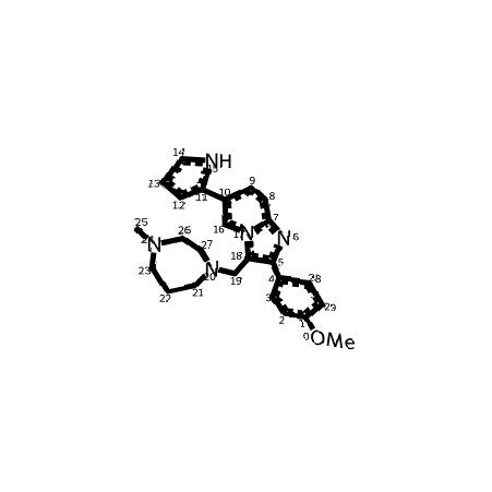 COc1ccc(-c2nc3ccc(-c4ccc[nH]4)cn3c2CN2CCCN(C)CC2)cc1